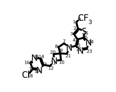 FC(F)(F)Cc1cc2c(N3CCC4(CN(Cc5cncc(Cl)n5)C4)C3)ncnc2s1